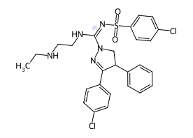 CCNCCN/C(=N/S(=O)(=O)c1ccc(Cl)cc1)N1CC(c2ccccc2)C(c2ccc(Cl)cc2)=N1